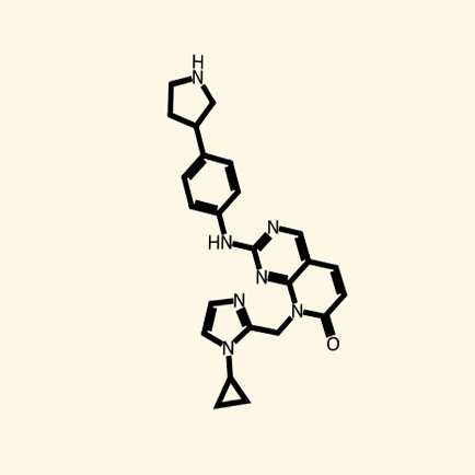 O=c1ccc2cnc(Nc3ccc(C4CCNC4)cc3)nc2n1Cc1nccn1C1CC1